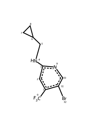 FC(F)(F)c1cc(NCC2CC2)ncc1Br